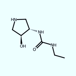 CCNC(=O)N[C@H]1CNC[C@@H]1O